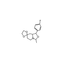 CC1OC(c2ccc(F)cc2)C2CC3(CCN12)OCCO3